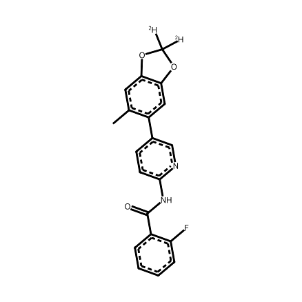 [2H]C1([2H])Oc2cc(C)c(-c3ccc(NC(=O)c4ccccc4F)nc3)cc2O1